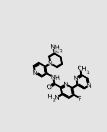 Cc1cncc(-c2nc(C(=O)Nc3cnccc3N3CCC[C@H](N)C3)c(N)cc2F)n1